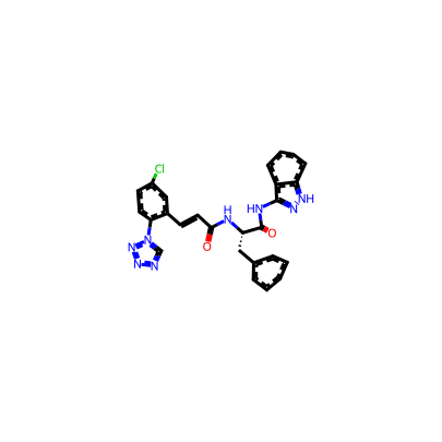 O=C(/C=C/c1cc(Cl)ccc1-n1cnnn1)N[C@@H](Cc1ccccc1)C(=O)Nc1n[nH]c2ccccc12